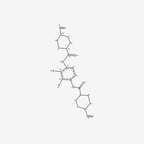 CCCCCCCCCCC1CCC(C(=O)Oc2ccc(OC(=O)C3CCC(CCCCCCCCCC)CC3)c(F)c2F)CC1